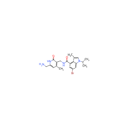 Cc1cc(CN)[nH]c(=O)c1CNC(=O)c1cc(Br)cc2c1c(C)cn2C(C)C